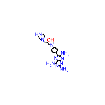 CN(CC(O)CN1CCNCC1)c1ccc(-c2nc3c(N)nc(N)nc3nc2N)cc1